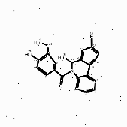 COc1cc(C(=O)N2c3ccccc3-c3ccc(F)cc3[C@@H]2C)ccc1O